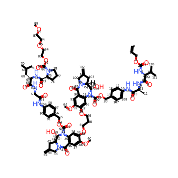 C=CCOC(=O)N[C@H](C(=O)N[C@@H](C)C(=O)Nc1ccc(COC(=O)N2c3cc(OCCCOc4cc5c(cc4OC)C(=O)N4CC(=C)CC4[C@H](O)N5C(=O)OCc4ccc(NC(=O)CNC(=O)[C@H](CC(C)C)NC(=O)[C@@H]5CCCN5C(=O)OCCOCCOC)cc4)c(OC)cc3C(=O)N3CC(=C)C[C@H]3[C@@H]2O)cc1)C(C)C